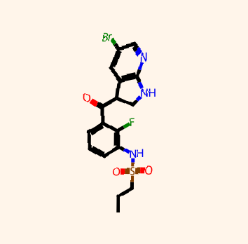 CCCS(=O)(=O)Nc1cccc(C(=O)C2CNc3ncc(Br)cc32)c1F